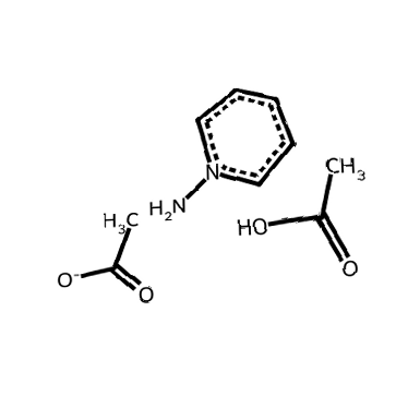 CC(=O)O.CC(=O)[O-].N[n+]1ccccc1